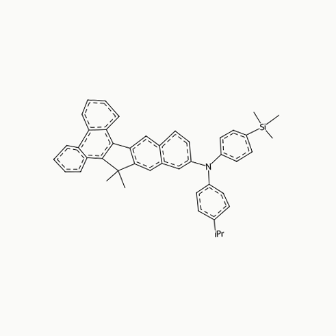 CC(C)c1ccc(N(c2ccc([Si](C)(C)C)cc2)c2ccc3cc4c(cc3c2)C(C)(C)c2c-4c3ccccc3c3ccccc23)cc1